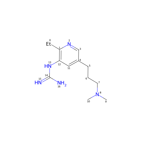 CCc1ncc(CCCN(C)C)cc1NC(=N)N